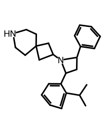 CC(C)c1ccccc1C1CC(c2ccccc2)N1C1CC2(CCNCC2)C1